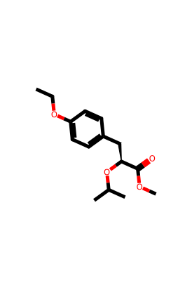 CCOc1ccc(C[C@H](OC(C)C)C(=O)OC)cc1